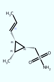 C/C=C/[C@H]1[C@@H](C)[C@H]1CS(N)(=O)=O